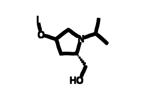 CC(C)N1CC(OI)C[C@H]1CO